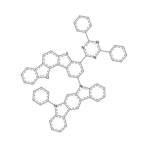 c1ccc(-c2nc(-c3ccccc3)nc(-c3cc(-n4c5ccccc5c5cc6c7ccccc7n(-c7ccccc7)c6cc54)cc4c3sc3ccc5c6ccccc6oc5c34)n2)cc1